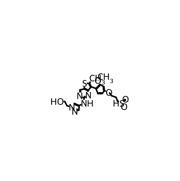 COc1cc(OCCC[SH](=O)=O)ccc1-c1c(C)sc2cnc(Nc3cnn(CCO)c3)nc12